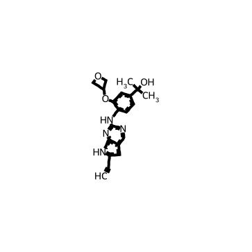 C#Cc1cc2cnc(Nc3ccc(C(C)(C)O)cc3OC3COC3)nc2[nH]1